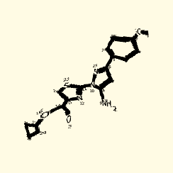 COc1ccc(-c2cc(N)n(-c3nc(C(=O)OC4CCC4)cs3)n2)cc1